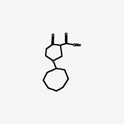 COC(=O)C1CN(C2CCCCCCC2)CCC1=O